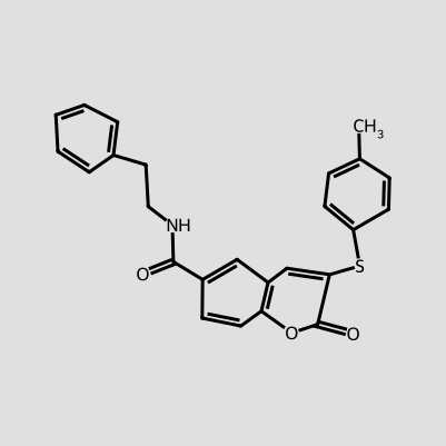 Cc1ccc(Sc2cc3cc(C(=O)NCCc4ccccc4)ccc3oc2=O)cc1